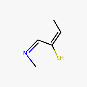 C/C=C(S)\C=N/C